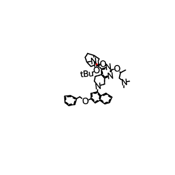 CC(CN(C)C)Oc1nc2c(c(N3CC4CCC(C3)N4C(=O)OC(C)(C)C)n1)CCN(c1cc(OCc3ccccc3)cc3ccccc13)C2